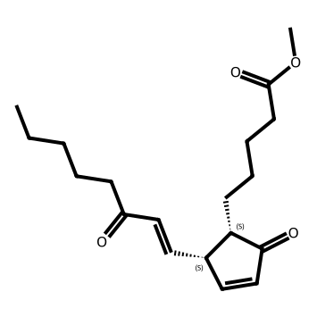 CCCCCC(=O)C=C[C@H]1C=CC(=O)[C@H]1CCCCC(=O)OC